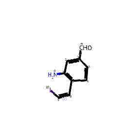 Nc1cc(C=O)ccc1/C=C\I